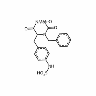 CNC(=O)C(Cc1ccc(NS(=O)(=O)O)cc1)N(Cc1ccccc1)C(=O)OC